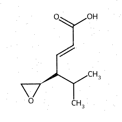 CC(C)C(/C=C/C(=O)O)[C@@H]1CO1